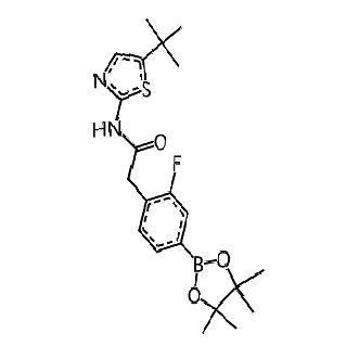 CC(C)(C)c1cnc(NC(=O)Cc2ccc(B3OC(C)(C)C(C)(C)O3)cc2F)s1